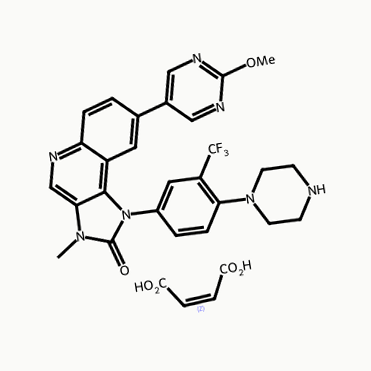 COc1ncc(-c2ccc3ncc4c(c3c2)n(-c2ccc(N3CCNCC3)c(C(F)(F)F)c2)c(=O)n4C)cn1.O=C(O)/C=C\C(=O)O